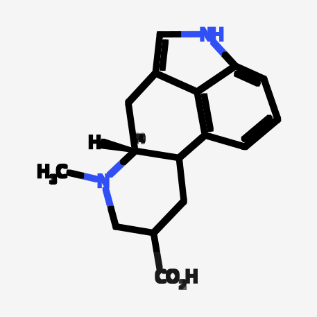 CN1CC(C(=O)O)CC2c3cccc4[nH]cc(c34)C[C@H]21